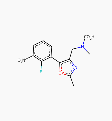 Cc1nc(CN(C)C(=O)O)c(-c2cccc([N+](=O)[O-])c2F)o1